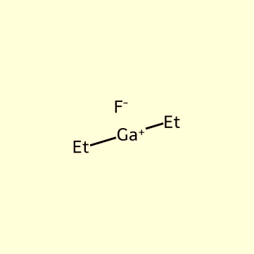 C[CH2][Ga+][CH2]C.[F-]